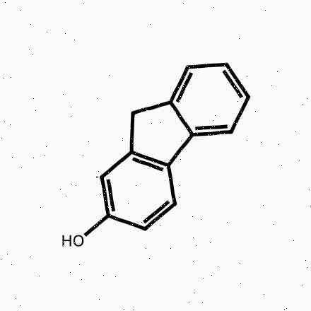 Oc1[c]c2c(cc1)-c1ccccc1C2